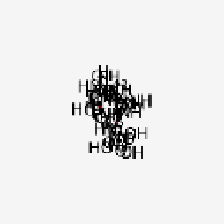 CSCC[C@H](NC(=O)[C@H](CC(C)C)NC(=O)[C@H](Cc1c[nH]cn1)NC(=O)CNC(=O)[C@H](C)NC(=O)[C@H](C)NC(=O)[C@H](Cc1c[nH]c2ccccc12)NC(=O)[C@H](CCC(N)=O)NCCC[C@@H](C)[C@H]1CC[C@H]2[C@@H]3[C@H](O)C[C@@H]4C[C@@H](NC(=O)COC(C)OC(C)NC(=O)CN5CCN(CC(=O)O)CCN(CC(=O)O)CCN(CC(=O)O)CC5)CC[C@]4(C)[C@H]3C[C@H](O)[C@]12C)C(N)=O